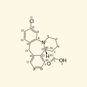 O=C(O)[C@H]1CCCN2c3cc(Cl)ccc3Cc3ccccc3[C@@H]12